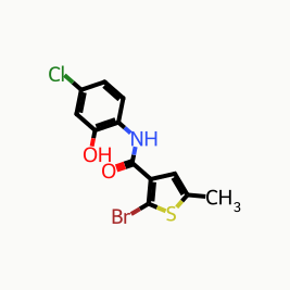 Cc1cc(C(=O)Nc2ccc(Cl)cc2O)c(Br)s1